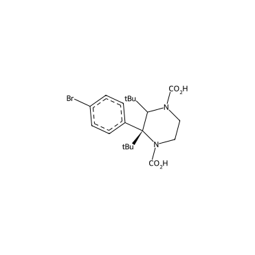 CC(C)(C)C1N(C(=O)O)CCN(C(=O)O)[C@@]1(c1ccc(Br)cc1)C(C)(C)C